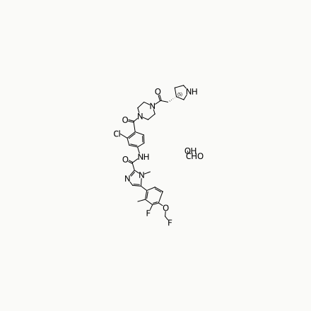 Cc1c(-c2cnc(C(=O)Nc3ccc(C(=O)N4CCN(C(=O)C[C@@H]5CCNC5)CC4)c(Cl)c3)n2C)ccc(OCF)c1F.O=CO